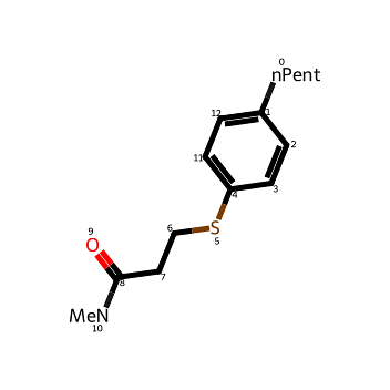 CCCCCc1ccc(SCCC(=O)NC)cc1